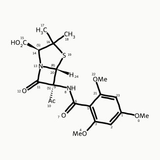 COc1cc(OC)c(C(=O)N[C@@]2(C(C)=O)C(=O)N3[C@@H](C(=O)O)C(C)(C)S[C@@H]32)c(OC)c1